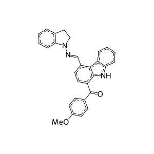 COc1ccc(C(=O)c2ccc(C=NN3CCc4ccccc43)c3c2[nH]c2ccccc23)cc1